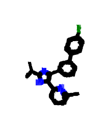 Cc1cccc(-c2[nH]c(C(C)C)nc2-c2cccc(-c3ccc(F)cc3)c2)n1